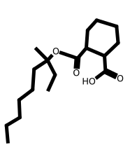 CCCCCCC(C)(CC)OC(=O)C1CCCCC1C(=O)O